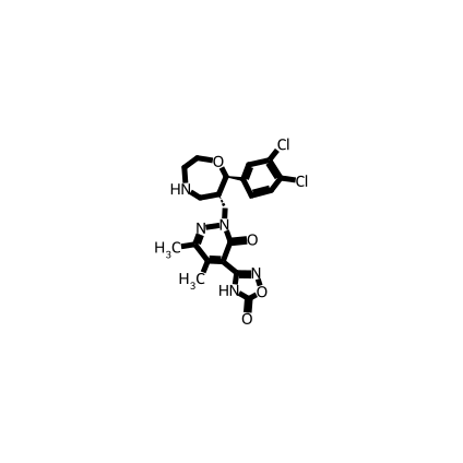 Cc1nn(C[C@@H]2CNCCO[C@H]2c2ccc(Cl)c(Cl)c2)c(=O)c(-c2noc(=O)[nH]2)c1C